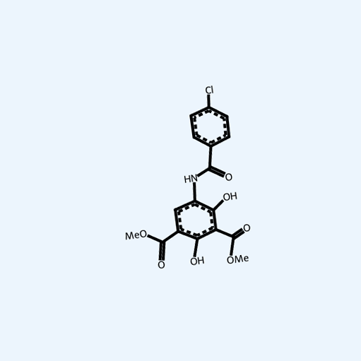 COC(=O)c1cc(NC(=O)c2ccc(Cl)cc2)c(O)c(C(=O)OC)c1O